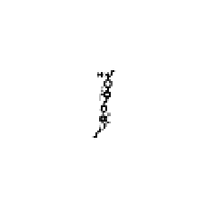 C=CCCCOc1ccc(C2CCC(CCc3ccc(C4CCC(C(O)CCC)CC4)c(F)c3F)CC2)c(F)c1F